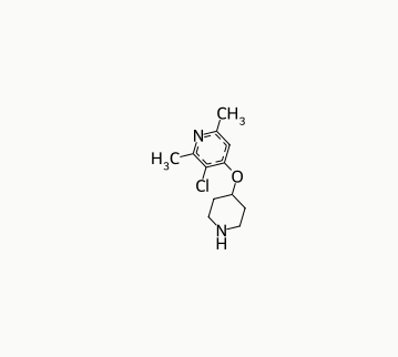 Cc1cc(OC2CCNCC2)c(Cl)c(C)n1